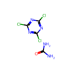 Clc1nc(Cl)nc(Cl)n1.NC(N)=O